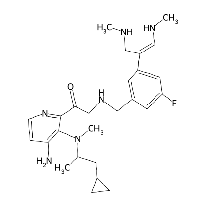 CN/C=C(\CNC)c1cc(F)cc(CNCC(=O)c2nccc(N)c2N(C)C(C)CC2CC2)c1